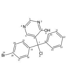 Oc1ncncc1C(Cl)(c1ccccc1)c1ccc(Br)cc1